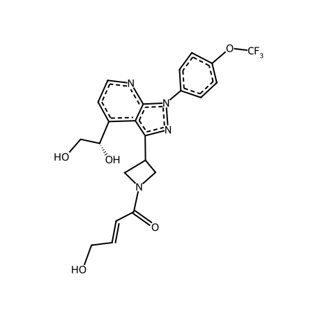 O=C(/C=C/CO)N1CC(c2nn(-c3ccc(OC(F)(F)F)cc3)c3nccc([C@H](O)CO)c23)C1